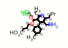 Cc1ccc(-c2c(CN)c(CC(C)C)nc(C)c2C(=O)OCCCC(=O)O)cc1.Cl.Cl